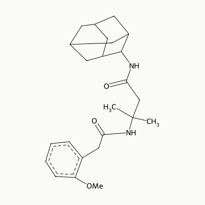 COc1ccccc1CC(=O)NC(C)(C)CC(=O)NC1C2CC3CC(C2)CC1C3